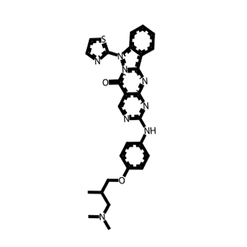 CC(COc1ccc(Nc2ncc3c(=O)n4c(nc3n2)c2ccccc2n4-c2nccs2)cc1)CN(C)C